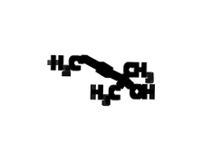 [CH2]CC#CC(C)(C)O